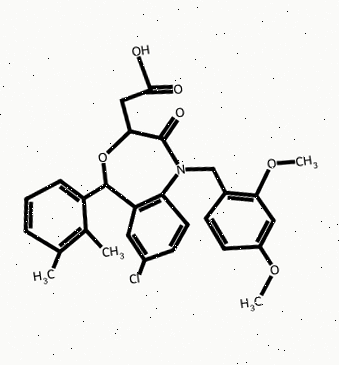 COc1ccc(CN2C(=O)C(CC(=O)O)OC(c3cccc(C)c3C)c3cc(Cl)ccc32)c(OC)c1